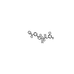 O=C(NCc1cc(F)cc(Cl)c1)O[C@]1(O)CCN(c2cccc(C(=O)N3CCCC3)c2)C1=O